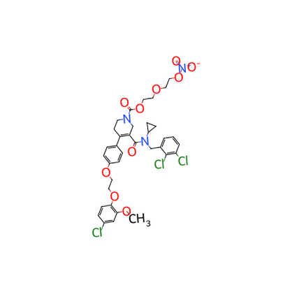 COc1cc(Cl)ccc1OCCOc1ccc(C2=C(C(=O)N(Cc3cccc(Cl)c3Cl)C3CC3)CN(C(=O)OCCOCCO[N+](=O)[O-])CC2)cc1